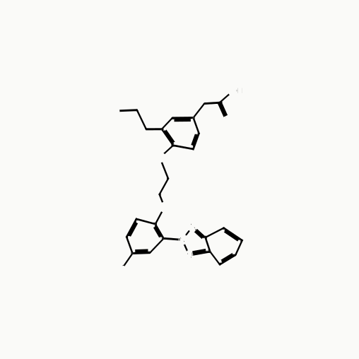 CCCc1cc(CC(=O)O)ccc1OCCOc1ccc(Cl)cc1-n1nc2ccccc2n1